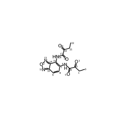 CCC(=O)C(=O)Nc1ccc2nonc2c1NC(=O)C(=O)CC